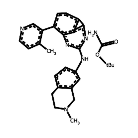 CC(C)(C)OC(N)=O.Cc1ccncc1-c1ccc2c3c-2nc(Nc2ccc4c(c2)CN(C)CC4)nc13